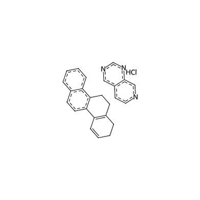 C1=CC2=C(CC1)CCc1c2ccc2ccccc12.Cl.c1cc2cncnc2cn1